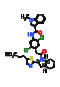 Cn1cc(C(=O)Nc2cc(Cl)c(CC(=O)N3[C@H](c4ncc(CCC(=O)O)s4)C[C@@H]4CCCC[C@@H]43)cc2Cl)c2ccccc21